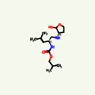 CC(C)COC(=O)N[C@@H](CN[C@H]1CCOC1O)CC(C)C